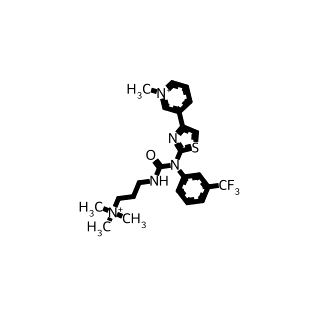 C[n+]1cccc(-c2csc(N(C(=O)NCCC[N+](C)(C)C)c3cccc(C(F)(F)F)c3)n2)c1